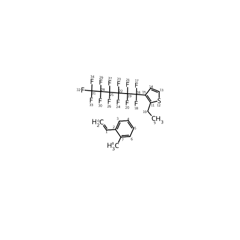 C=Cc1ccccc1C.CCc1sccc1C(F)(F)C(F)(F)C(F)(F)C(F)(F)C(F)(F)C(F)(F)F